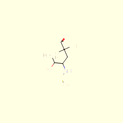 CSNC(CC(C)(C)C=O)C(C)O